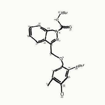 Cc1cc(OCc2nn(C(=O)OC(C)(C)C)c3ncccc23)c(C(C)(C)C)cc1Cl